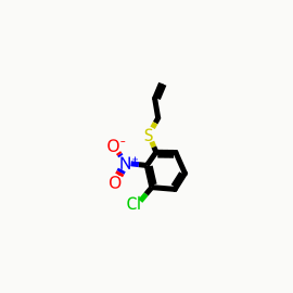 C=CCSc1cccc(Cl)c1[N+](=O)[O-]